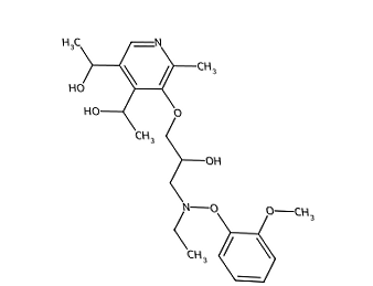 CCN(CC(O)COc1c(C)ncc(C(C)O)c1C(C)O)Oc1ccccc1OC